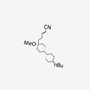 CCCC[C@H]1CC[C@H]([C@H]2CC[C@@](CCC=CC#N)(OC)CC2)CC1